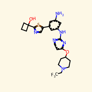 Nc1cc(Nc2nccc(OC3CCN(CC(F)(F)F)CC3)n2)cc(-c2cnc(C3(O)CCC3)s2)c1